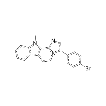 Cn1c2ccccc2c2ccn3c(-c4ccc(Br)cc4)cnc3c21